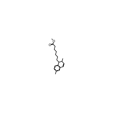 COC(=O)CCCCCCC1c2ccc(C)cc2C=CC1C